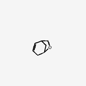 C1=CC2COC(C1)C2